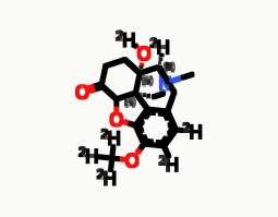 [2H]O[C@@]12CCC(=O)C3Oc4c(OC([2H])([2H])[2H])c([2H])c([2H])c5c4[C@@]31CCN(C)[C@]2([2H])C5